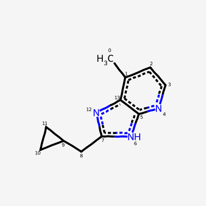 Cc1ccnc2[nH]c(CC3CC3)nc12